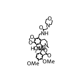 COc1ccc2c(c1OC)C(=O)O[C@]2(N)[C@H]1c2c(c(CNC(=O)CN3CCOCC3)c3c(c2OC)OCO3)CCN1C